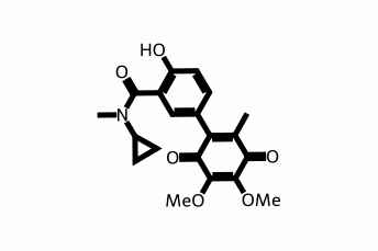 COC1=C(OC)C(=O)C(c2ccc(O)c(C(=O)N(C)C3CC3)c2)=C(C)C1=O